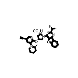 C#Cc1cnc(O[C@H]2C[C@@H](C(=O)O)N(c3nc(C(F)F)nc4c3oc3ccccc34)C2)c(N2CCCC[C@@H]2C)c1